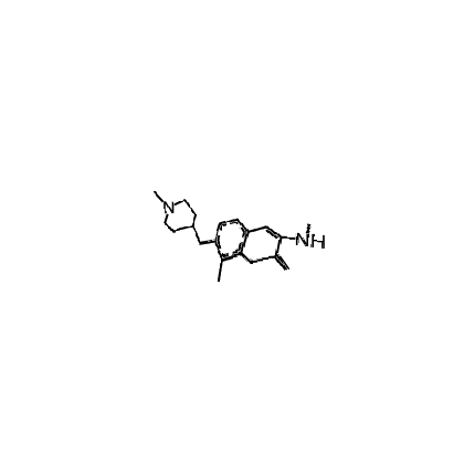 C=C1Cc2c(ccc(CC3CCN(C)CC3)c2C)C=C1NC